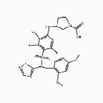 COc1ccc(CN(c2ncns2)S(=O)(=O)c2c(F)cc(NC3CCN(C(=O)O)C3)c(Cl)c2F)c(OC)c1